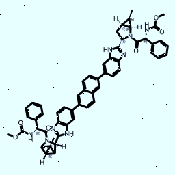 COC(=O)N[C@@H](C(=O)N1C2[C@H]3C([C@H]1c1nc4ccc(-c5ccc6cc(-c7ccc8nc([C@@H]9C[C@H]%10[C@@H](C)[C@H]%10N9C(=O)[C@H](NC(=O)OC)c9ccccc9)[nH]c8c7)ccc6c5)cc4[nH]1)[C@@]23C)c1ccccc1